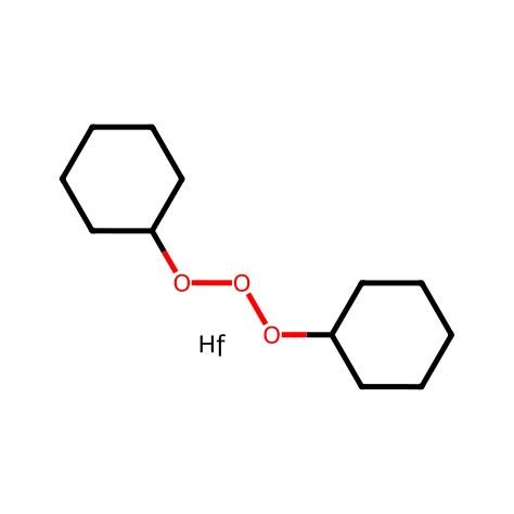 C1CCC(OOOC2CCCCC2)CC1.[Hf]